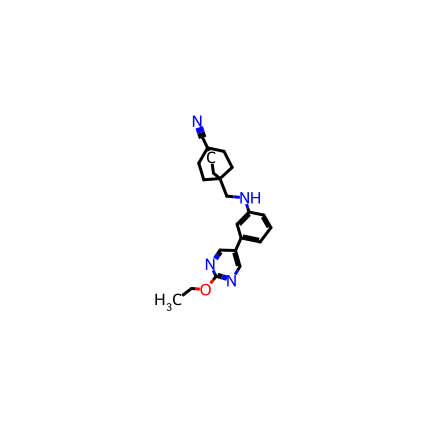 CCOc1ncc(-c2cccc(NCC34CCC(C#N)(CC3)CC4)c2)cn1